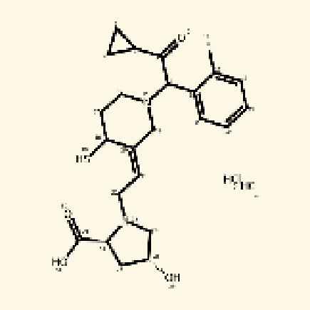 Cl.Cl.O=C(C1CC1)C(c1ccccc1F)N1CCC(S)/C(=C\CN2C[C@H](O)C[C@H]2C(=O)O)C1